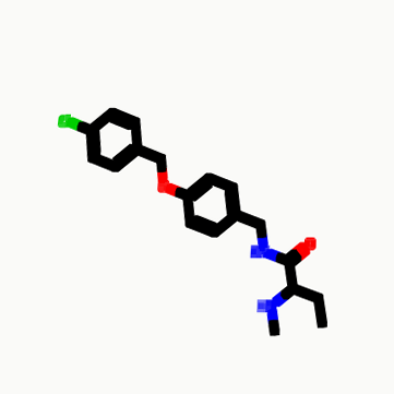 CCC(NC)C(=O)NCc1ccc(OCc2ccc(Cl)cc2)cc1